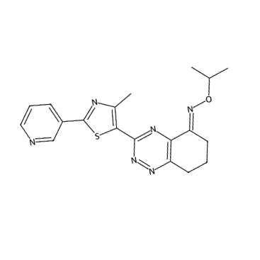 Cc1nc(-c2cccnc2)sc1-c1nnc2c(n1)/C(=N/OC(C)C)CCC2